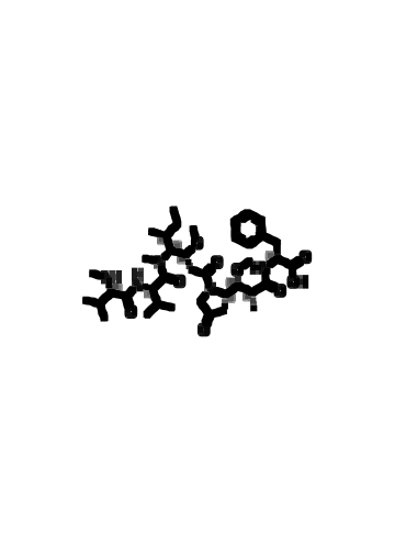 CC[C@H](C)[C@@H]([C@@H](CC(=O)N1CC(=O)C[C@H]1[C@H](OC)[C@@H](C)C(=O)N[C@@H](Cc1ccccc1)C(=O)O)OC)N(C)C(=O)[C@@H](NC(=O)[C@@H](NC)C(C)C)C(C)C